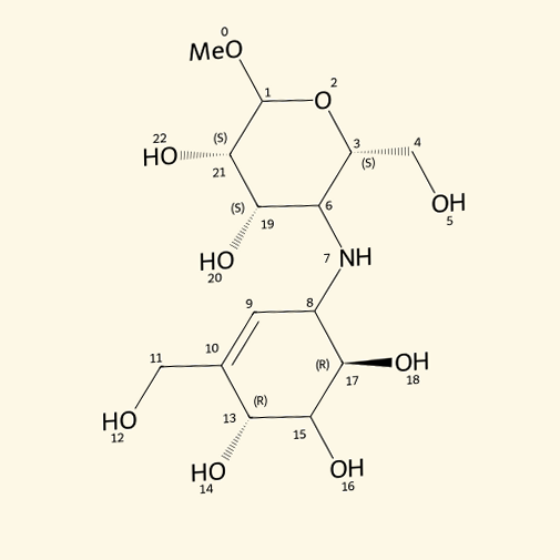 COC1O[C@H](CO)C(NC2C=C(CO)[C@@H](O)C(O)[C@@H]2O)[C@H](O)[C@@H]1O